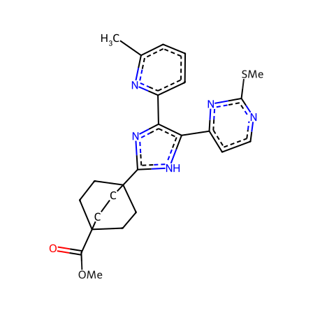 COC(=O)C12CCC(c3nc(-c4cccc(C)n4)c(-c4ccnc(SC)n4)[nH]3)(CC1)CC2